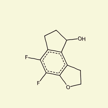 OC1CCc2c(F)c(F)c3c(c21)CCO3